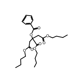 CCCCOC(=O)CC(CC(=O)OCCCC)(OC(=O)c1ccccc1)C(=O)OCCCC